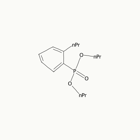 CCCOP(=O)(OCCC)c1ccccc1CCC